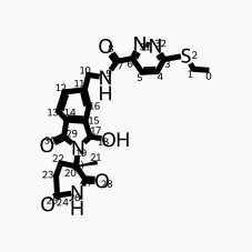 CCSc1ccc(C(=O)NCc2ccc3c(c2)C(O)N([C@@]2(C)CCC(=O)NC2=O)C3=O)nn1